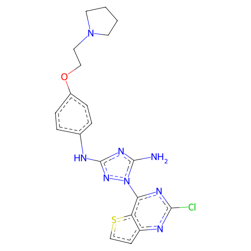 Nc1nc(Nc2ccc(OCCN3CCCC3)cc2)nn1-c1nc(Cl)nc2ccsc12